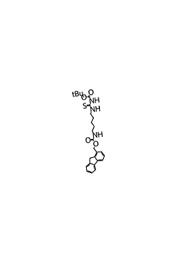 CC(C)(C)OC(=O)NC(=S)NCCCCCNC(=O)OCc1cccc2c1Cc1ccccc1-2